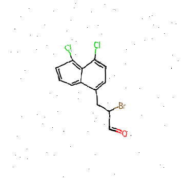 O=CC(Br)Cc1ccc(Cl)c2c(Cl)cccc12